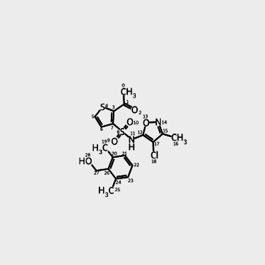 CC(=O)c1sccc1S(=O)(=O)Nc1onc(C)c1Cl.Cc1cccc(C)c1CO